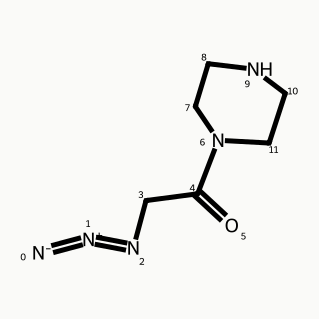 [N-]=[N+]=NCC(=O)N1CCNCC1